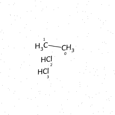 CC.Cl.Cl